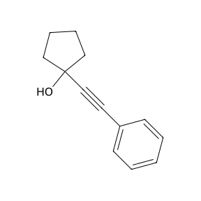 OC1(C#Cc2ccccc2)CCCC1